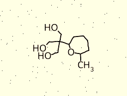 CC1CCCCC(C(CO)(CO)CO)O1